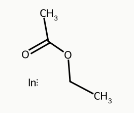 CCOC(C)=O.[In]